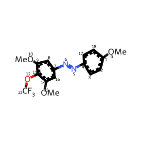 COc1[c]cc(N=Nc2cc(OC)c(OC(F)(F)F)c(OC)c2)cc1